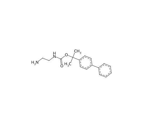 CC(C)(OC(=O)NCCN)c1ccc(-c2ccccc2)cc1